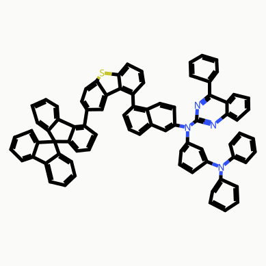 c1ccc(-c2nc(N(c3cccc(N(c4ccccc4)c4ccccc4)c3)c3ccc4c(-c5cccc6sc7ccc(-c8cccc9c8-c8ccccc8C98c9ccccc9-c9ccccc98)cc7c56)cccc4c3)nc3ccccc23)cc1